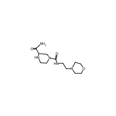 NC(=O)C1CN(C(=O)NCCN2CCOCC2)CCN1